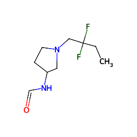 CCC(F)(F)CN1CCC(NC=O)C1